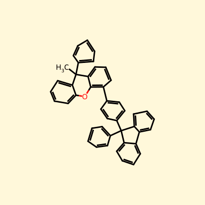 CC1(c2ccccc2)c2ccccc2Oc2c(-c3ccc(C4(c5ccccc5)c5ccccc5-c5ccccc54)cc3)cccc21